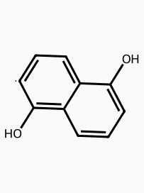 Oc1[c]ccc2c(O)cccc12